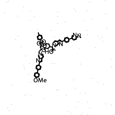 COc1ccc(-c2ccc(-c3cc4ccn(CC(COS(=O)(=O)c5ccc(C)cc5)OC5CC(C([C@@H](C)O)n6ccc7cc(-c8ccc(-c9ccc(N(C)C)nc9)cc8)nc-7c6)CCO5)cc-4n3)cc2)cc1